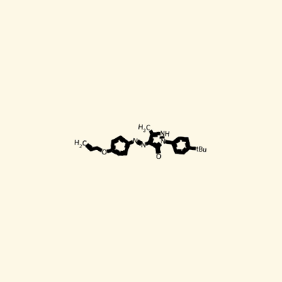 C=CCOc1ccc(/N=N/c2c(C)[nH]n(-c3ccc(C(C)(C)C)cc3)c2=O)cc1